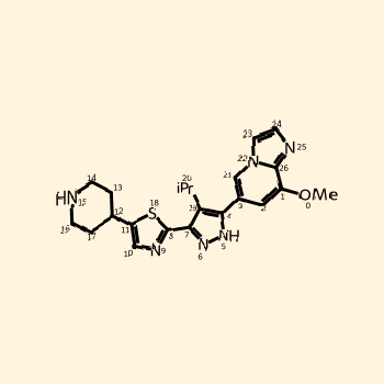 COc1cc(-c2[nH]nc(-c3ncc(C4CCNCC4)s3)c2C(C)C)cn2ccnc12